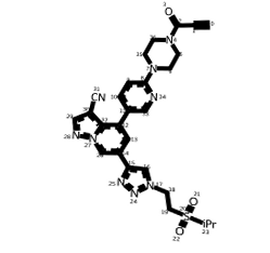 C#CC(=O)N1CCN(c2ccc(-c3cc(-c4cn(CCS(=O)(=O)C(C)C)nn4)cn4ncc(C#N)c34)cn2)CC1